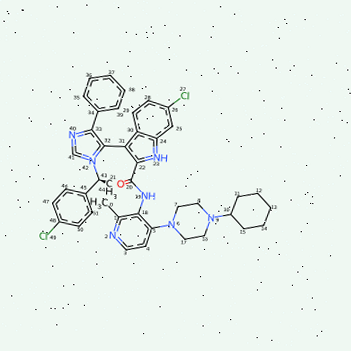 Cc1nccc(N2CCN(C3CCCCC3)CC2)c1NC(=O)c1[nH]c2cc(Cl)ccc2c1-c1c(-c2ccccc2)ncn1[C@@H](C)c1ccc(Cl)cc1